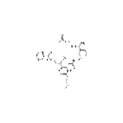 CC(=O)O.COCCC(=O)N[C@@H](CC(=O)NC[C@@H]1CCCN(C(=N)N)C1)C(=O)N(CCNC(=O)c1cnccn1)C1CC1